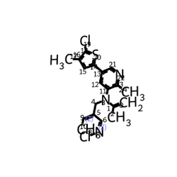 C=C(C)N(CC(/C=N\Cl)=C/C)c1cc(-c2cc(C)c(Cl)s2)cnc1C